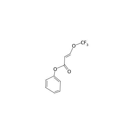 O=C(C=COC(F)(F)F)Oc1ccccc1